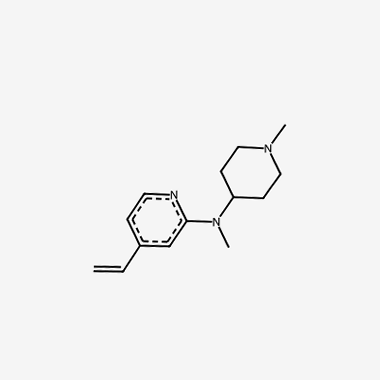 C=Cc1ccnc(N(C)C2CCN(C)CC2)c1